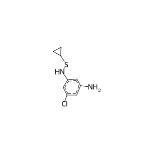 Nc1cc(Cl)cc(NSC2CC2)c1